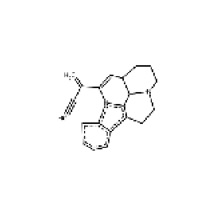 C#CC(=C)C1=CC2CCCN3CCc4c(n1c1ccccc41)C23